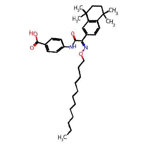 CCCCCCCCCCCCON=C(C(=O)Nc1ccc(C(=O)O)cc1)c1ccc2c(c1)C(C)(C)CCC2(C)C